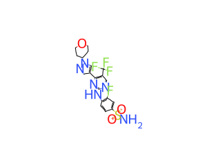 NS(=O)(=O)c1ccc(Nc2ncc(C(F)(F)F)c(-c3cnn(C4CCOCC4)c3)n2)c(F)c1